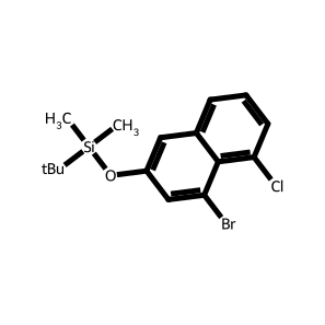 CC(C)(C)[Si](C)(C)Oc1cc(Br)c2c(Cl)cccc2c1